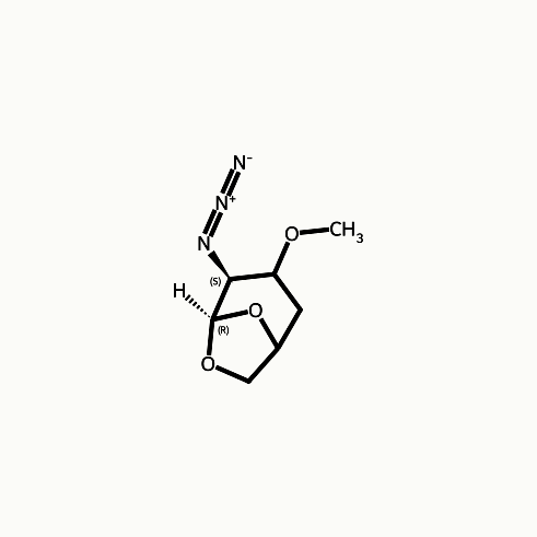 COC1CC2CO[C@H](O2)[C@H]1N=[N+]=[N-]